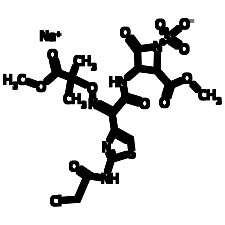 COC(=O)C1C(NC(=O)C(=NOC(C)(C)C(=O)OC)c2csc(NC(=O)CCl)n2)C(=O)N1S(=O)(=O)[O-].[Na+]